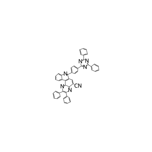 N#Cc1cc2c(-c3ccc(-c4nc(-c5ccccc5)nc(-c5ccccc5)n4)cc3)nc3ccccc3c2c2nc(-c3ccccc3)c(-c3ccccc3)nc12